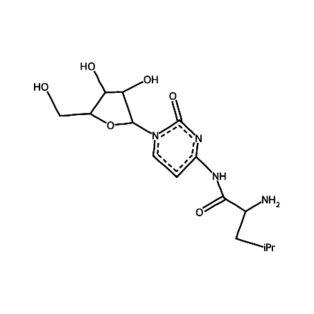 CC(C)CC(N)C(=O)Nc1ccn(C2OC(CO)C(O)C2O)c(=O)n1